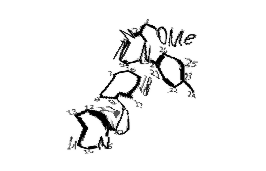 COCc1nnc([C@H]2CC[C@H](Oc3ccccn3)CC2)n1-c1ccc(C)cc1